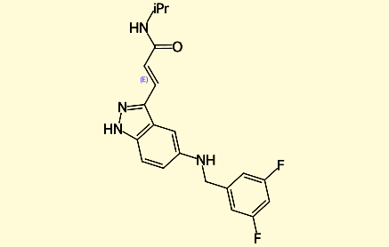 CC(C)NC(=O)/C=C/c1n[nH]c2ccc(NCc3cc(F)cc(F)c3)cc12